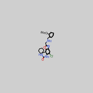 COc1ccccc1CNCc1nc2cc(Cl)c3c(c2o1)C1(CCCCC1)NC(=O)N3